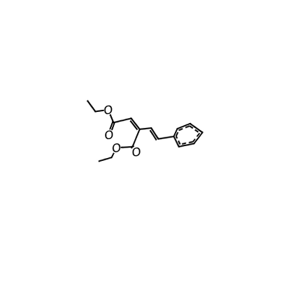 CCOC(=O)C=C(C=Cc1ccccc1)C(=O)OCC